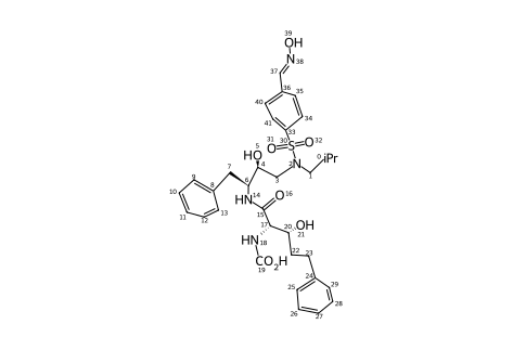 CC(C)CN(C[C@H](O)[C@H](Cc1ccccc1)NC(=O)[C@@H](NC(=O)O)[C@H](O)CCc1ccccc1)S(=O)(=O)c1ccc(C=NO)cc1